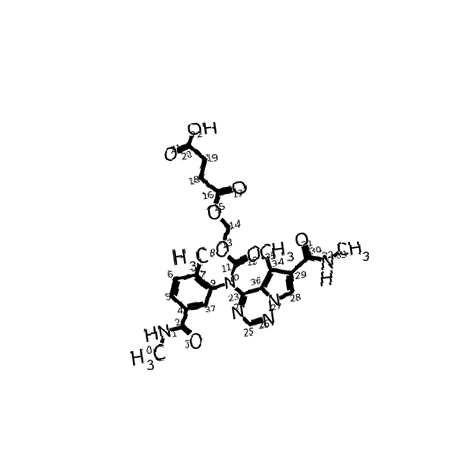 CNC(=O)c1ccc(C)c(N(C(=O)OCOC(=O)CCC(=O)O)c2ncnn3cc(C(=O)NC)c(C)c23)c1